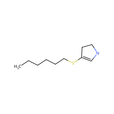 CCCCCCSC1=C[N]CC1